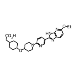 CCOc1ccc2nc(-c3ccc(N4CCC(OC5CCC(CC(=O)O)CC5)CC4)nc3)[nH]c2n1